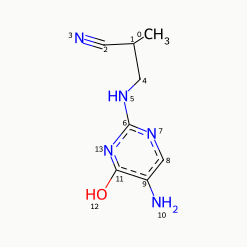 CC(C#N)CNc1ncc(N)c(O)n1